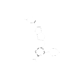 O=C(OC(C(F)(F)F)C(F)(F)F)N1CC2CN(Cc3ccc(C(F)F)cc3N3CCCCC3)CC2C1